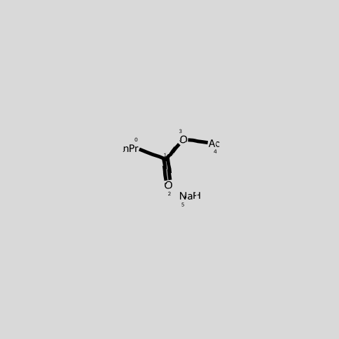 CCCC(=O)OC(C)=O.[NaH]